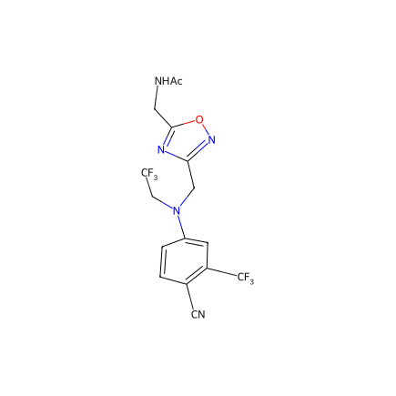 CC(=O)NCc1nc(CN(CC(F)(F)F)c2ccc(C#N)c(C(F)(F)F)c2)no1